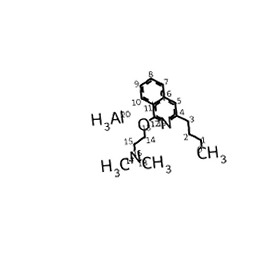 CCCCc1cc2ccccc2c(OCCN(C)C)n1.[AlH3]